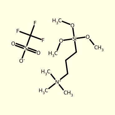 CO[Si](CCC[N+](C)(C)C)(OC)OC.O=S(=O)([O-])C(F)(F)F